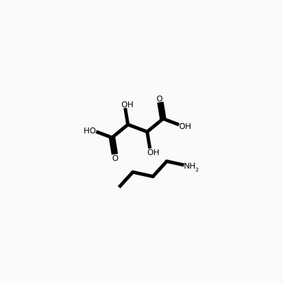 CCCCN.O=C(O)C(O)C(O)C(=O)O